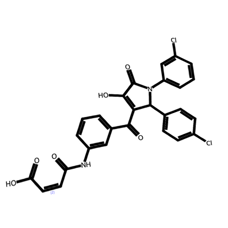 O=C(O)/C=C\C(=O)Nc1cccc(C(=O)C2=C(O)C(=O)N(c3cccc(Cl)c3)C2c2ccc(Cl)cc2)c1